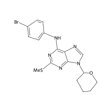 CSc1nc(Nc2ccc(Br)cc2)c2ncn(C3CCCCO3)c2n1